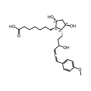 COc1ccc(C=C=CC(O)CC[C@@H]2[C@@H](CCCCCCC(=O)O)[C@@H](O)C[C@H]2O)cc1